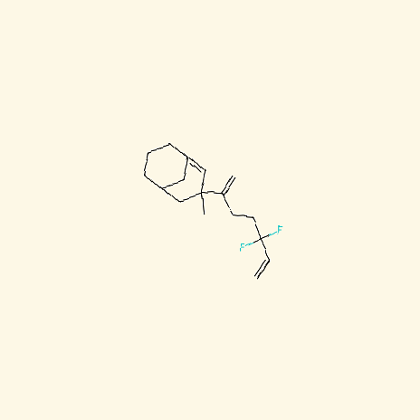 C=CC(F)(F)CCC(=C)C1(C)C=C2CCCC(C2)C1